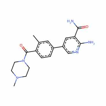 Cc1cc(-c2cnc(N)c(C(N)=O)c2)ccc1C(=O)N1CCN(C)CC1